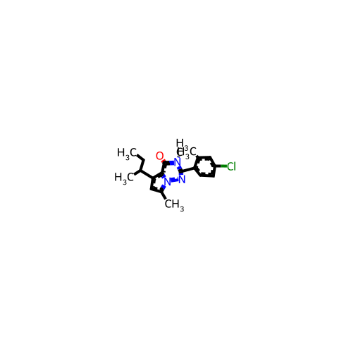 CCC(C)c1cc(C)n2nc(-c3ccc(Cl)cc3C)n(C)c(=O)c12